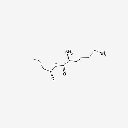 CCCC(=O)OC(=O)[C@@H](N)CCCCN